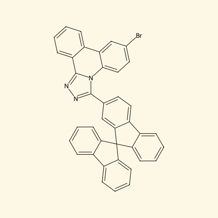 Brc1ccc2c(c1)c1ccccc1c1nnc(-c3ccc4c(c3)C3(c5ccccc5-c5ccccc53)c3ccccc3-4)n21